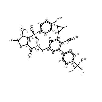 CC1C(F)CC(C(=O)NCc2cc(-c3cnc(C(F)(F)F)nc3)c(C#N)c(C3CC3)n2)N1S(=O)(=O)c1ccc(F)cc1